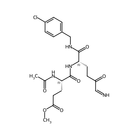 COC(=O)CC[C@H](NC(C)=O)C(=O)N[C@@H](CCC(=O)C=N)C(=O)NCc1ccc(Cl)cc1